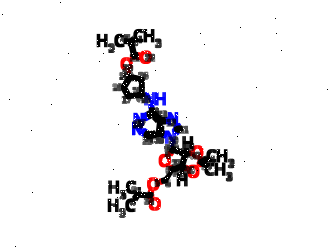 CC(C)C(=O)OC[C@H]1O[C@@H](n2cnc3c(N[C@@H]4CC[C@@H](OC(=O)C(C)C)C4)nncc32)[C@@H]2OC(C)(C)O[C@@H]21